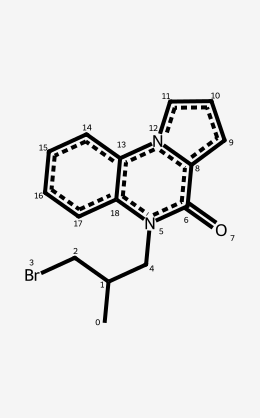 CC(CBr)Cn1c(=O)c2cccn2c2ccccc21